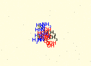 COC(COP(=O)(OC)OC1C(COP(O)O)OC(Nc2nc(N)[nH]c(=S)c2N)C1O)C(O)C(O)N1CNc2c1nc(N)[nH]c2=S